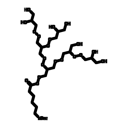 CCCCCCCCCCCCCCCC(=O)OOCC(COOCC(CO)OOCC(O)CO)OOCC(COOCC(O)CO)OOCC(O)CO